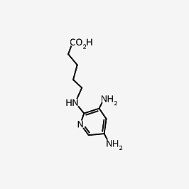 Nc1cnc(NCCCCC(=O)O)c(N)c1